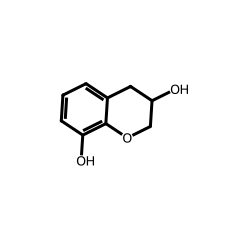 Oc1cccc2c1OCC(O)C2